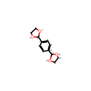 c1cc(C2OCCO2)ccc1C1OCCO1